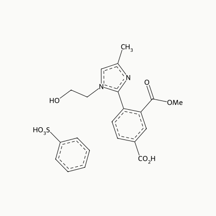 COC(=O)c1cc(C(=O)O)ccc1-c1nc(C)cn1CCO.O=S(=O)(O)c1ccccc1